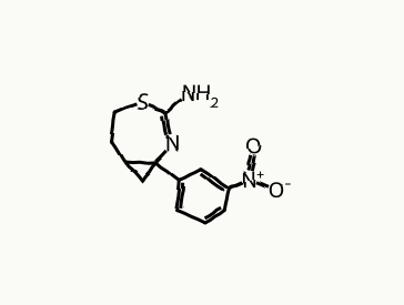 NC1=NC2(c3cccc([N+](=O)[O-])c3)CC2CCS1